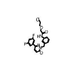 O=C(COCCCl)Nc1cccc(Cn2nc(-c3cc(F)cc(F)c3)ccc2=O)c1